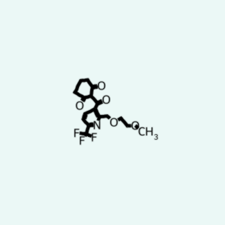 COCCOCc1nc(C(F)(F)F)ccc1C(=O)C1C(=O)CCCC1=O